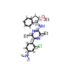 CCO[C@H]1Cc2ccccc2[C@H]1Nc1nc(CC)c(-c2ccc(N(C)C)cc2Cl)nc1CC